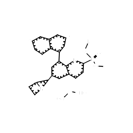 CC(C)(C)OC=O.CCOP(=O)(OCC)c1ccc2cc(-c3c4ccn3-4)cc(-c3cccc4ccccc34)c2n1